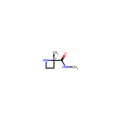 CNC(=O)[C@]1(C)CCN1